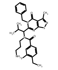 CCc1ccc(C(=O)N(CCCN)C(c2nc3snc(C)c3c(=O)n2Cc2ccccc2)C(C)C)cc1F